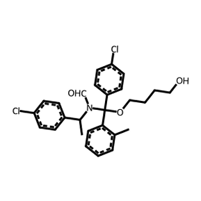 Cc1ccccc1C(OCCCCO)(c1ccc(Cl)cc1)N(C=O)C(C)c1ccc(Cl)cc1